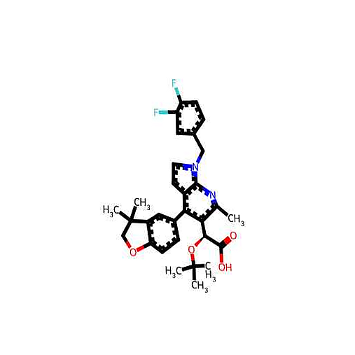 Cc1nc2c(ccn2Cc2ccc(F)c(F)c2)c(-c2ccc3c(c2)C(C)(C)CO3)c1[C@H](OC(C)(C)C)C(=O)O